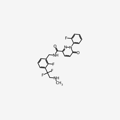 CNCC(F)(F)c1cccc(CNC(=O)c2ccc(=O)n(-c3ccccc3F)n2)c1F